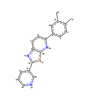 Cc1ccc(-c2ccc3nc(-c4cccnc4)sc3n2)cc1C